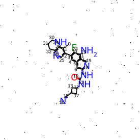 Cc1c(-c2cc3cc(NC(=O)NC4CC(C#N)C4)ncc3c(N)c2F)cnc2c1NCCC2